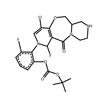 CC(C)(C)OC(=O)Oc1cccc(F)c1N1C=C(Cl)C2=C(C(=O)N3CCNCC3CO2)C1F